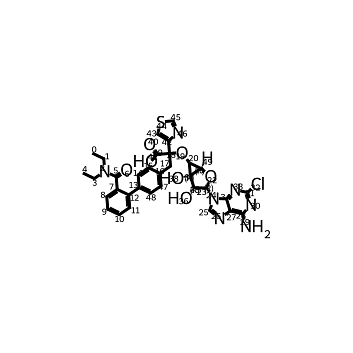 CCN(CC)C(=O)c1ccccc1-c1ccc(CC(OC2[C@H]3O[C@@H](n4cnc5c(N)nc(Cl)nc54)[C@H](O)[C@@]23O)(C(=O)O)c2cscn2)cc1